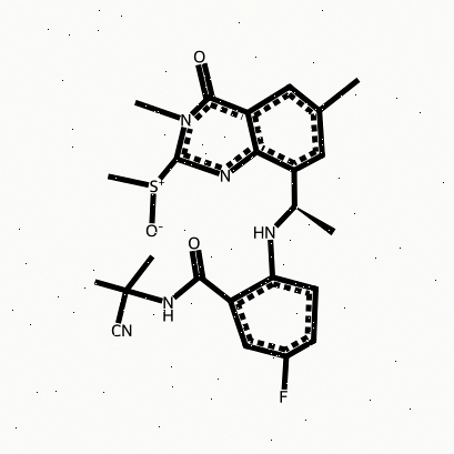 Cc1cc([C@@H](C)Nc2ccc(F)cc2C(=O)NC(C)(C)C#N)c2nc([S+](C)[O-])n(C)c(=O)c2c1